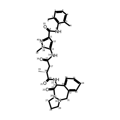 Cc1cccc(C)c1NC(=O)c1cc(NC(=O)C[C@@H](C)C(=O)N[C@@H]2C(=O)N3CCCN3Cc3ccccc32)n(C)n1